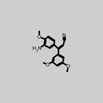 COc1cc(OC)cc(C(=CC#N)c2ccc(OC)c(N)c2)c1